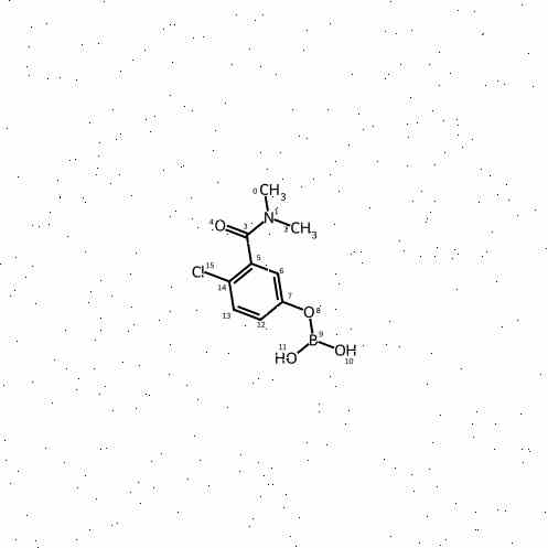 CN(C)C(=O)c1cc(OB(O)O)ccc1Cl